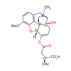 COc1ccc2c3c1O[C@H]1C(OC(=O)C[C@H](OC(C)=O)C(=O)O)=CC[C@@]4(O)C(C2)N(C)CC[C@]314